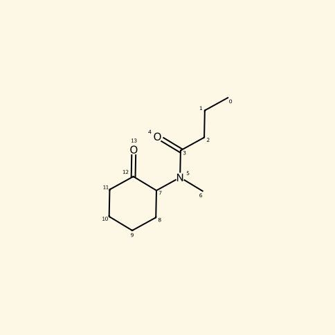 CCCC(=O)N(C)C1CCCCC1=O